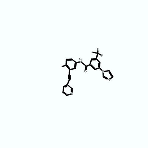 Cc1ccc(NC(=O)c2cc(-n3ccnc3)cc(C(F)(F)F)c2)cc1C#Cc1cccnc1